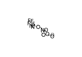 O=C1c2c(cccc2OCC2CCCO2)CN1Cc1ccc(-c2nnc(C(F)(F)F)s2)cc1